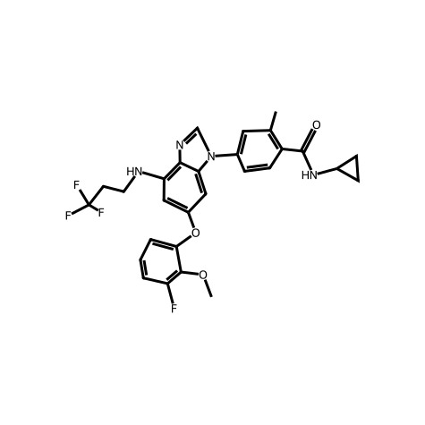 COc1c(F)cccc1Oc1cc(NCCC(F)(F)F)c2ncn(-c3ccc(C(=O)NC4CC4)c(C)c3)c2c1